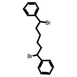 BrC(CCCCC(Br)c1ccccc1)c1ccccc1